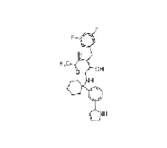 CC(=O)NC(Cc1cc(F)cc(F)c1)C(O)CNC1(c2cccc(C3C=CCN3)c2)CCCCC1